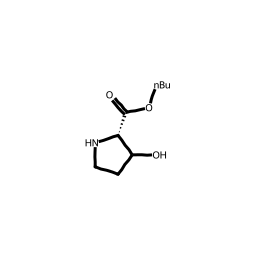 CCCCOC(=O)[C@H]1NCCC1O